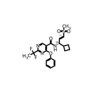 CC(F)(F)c1ncc(C(=O)N[C@H](/C=C/S(C)(=O)=O)C2CCC2)c(Oc2ccccc2)n1